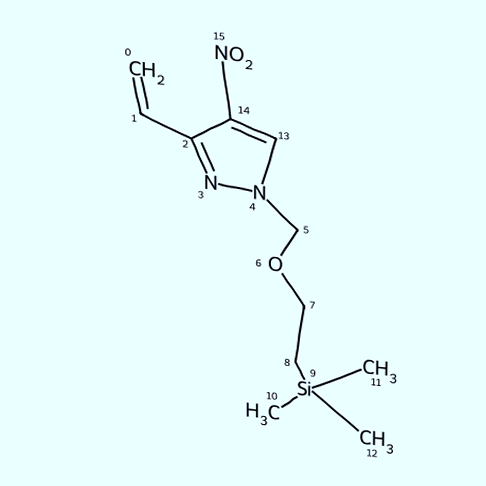 C=Cc1nn(COCC[Si](C)(C)C)cc1[N+](=O)[O-]